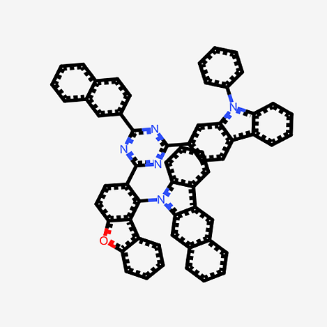 c1ccc(-n2c3ccccc3c3ccc(-c4nc(-c5ccc6ccccc6c5)nc(-c5ccc6oc7ccccc7c6c5-n5c6ccccc6c6cc7ccccc7cc65)n4)cc32)cc1